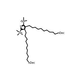 CCCCCCCCCCCCCCCCCCCCc1[c]([Sn]([CH3])([CH3])[CH3])s[c]([Sn]([CH3])([CH3])[CH3])c1CCCCCCCCCCCCCCCCCCCC